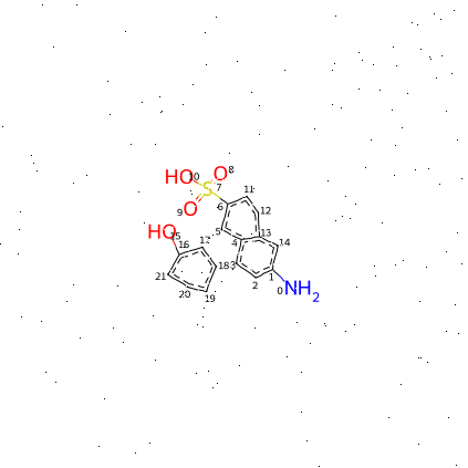 Nc1ccc2cc(S(=O)(=O)O)ccc2c1.Oc1ccccc1